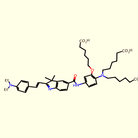 CCN(CC)c1ccc(/C=C/C2=Nc3ccc(C(=O)Nc4ccc(N(CCCCCC(=O)O)CCCCCC(=O)O)c(OCCCCCC(=O)O)c4)cc3C2(C)C)cc1